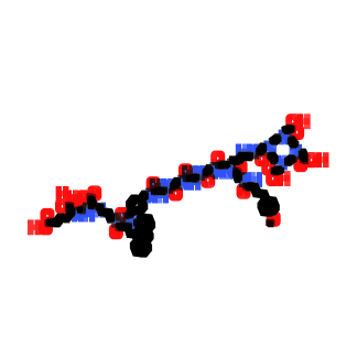 COc1ccc(CCCC(=O)NCC(=O)N[C@@H](CCCCNC(=O)CN2CCN(CC(=O)O)CCN(CC(=O)O)CCN(CC(=O)O)CC2)C(=O)NCC(=O)NCC(=O)NCC(=O)NCC(=O)NCC2CCC(C(=O)N[C@@H](Cc3c4ccccc4cc4ccccc34)C(=O)NCCCC[C@H](NC(=O)N[C@@H](CCCC(=O)O)C(=O)O)C(=O)O)CC2)cc1